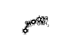 COc1nc(N)c2c(n1)CCN(c1ccc(C(C)(C)C(=O)OCc3ccccc3)cc1)C2=O